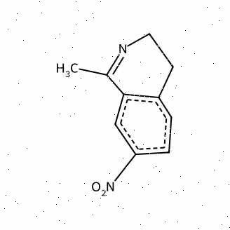 CC1=NCCc2ccc([N+](=O)[O-])cc21